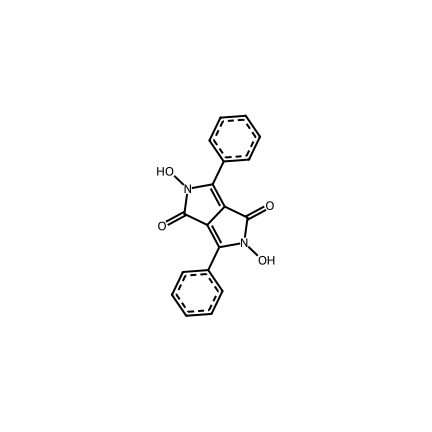 O=C1C2=C(c3ccccc3)N(O)C(=O)C2=C(c2ccccc2)N1O